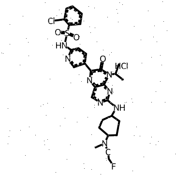 CC(C)n1c(=O)c(-c2ccc(NS(=O)(=O)c3ccccc3Cl)nc2)nc2cnc(NC3CCC(N(C)CCF)CC3)nc21.Cl